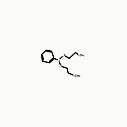 CCCCCCCCCCCCOB(OCCCCCCCCCCCC)c1ccccc1